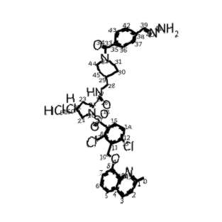 Cc1ccc2cccc(OCc3c(Cl)ccc(S(=O)(=O)N4CCC[C@H]4C(=O)NCC4CCN(C(=O)c5ccc(C=NN)cc5)CC4)c3Cl)c2n1.Cl.Cl